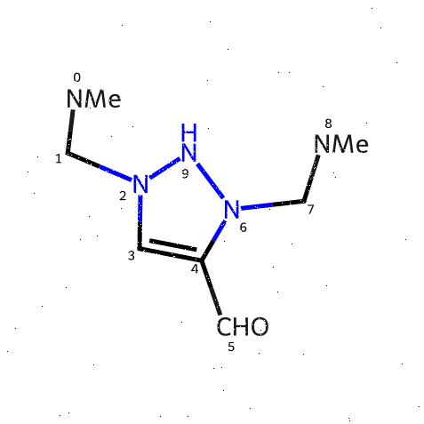 CNCN1C=C(C=O)N(CNC)N1